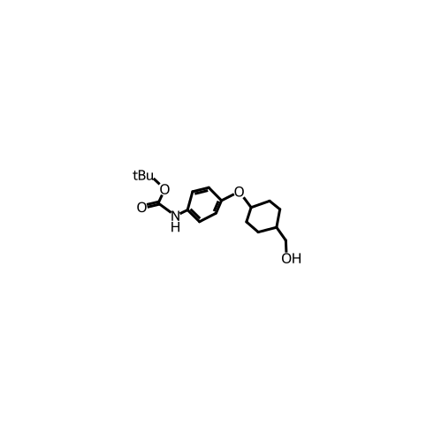 CC(C)(C)OC(=O)Nc1ccc(OC2CCC(CO)CC2)cc1